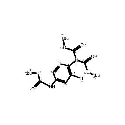 CC(C)(C)OC(=O)Nc1cnc(N(C(=O)OC(C)(C)C)C(=O)OC(C)(C)C)c(Cl)c1